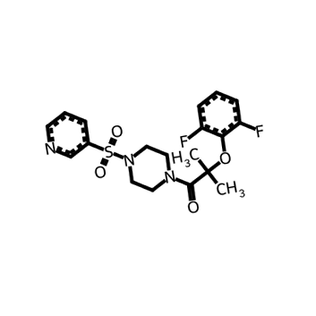 CC(C)(Oc1c(F)cccc1F)C(=O)N1CCN(S(=O)(=O)c2cccnc2)CC1